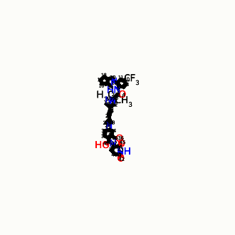 CC(C)(C(=O)Nc1ccc(C(F)(F)F)cc1N1CC2CCCC2C1)n1cc(C#CC2CN(c3ccc4c(c3)C(=O)N(C3CCC(=O)NC3=O)C4O)C2)cn1